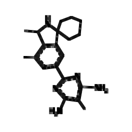 Cc1cc(-c2nc(N)c(C)c(N)n2)cc2c1C(C)NC21CCCCC1